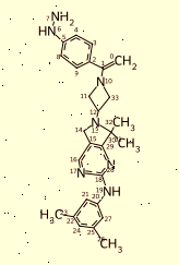 C=C(c1ccc(NN)cc1)N1CC(N2Cc3cnc(Nc4cc(C)cc(C)c4)nc3C2(C)C)C1